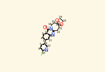 O=c1c2ccc(-c3ccc(F)nc3)cc2nc2n1CCC1(CC2)OCCO1